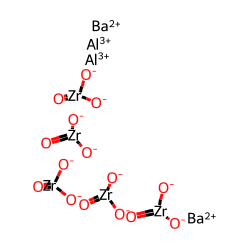 [Al+3].[Al+3].[Ba+2].[Ba+2].[O]=[Zr]([O-])[O-].[O]=[Zr]([O-])[O-].[O]=[Zr]([O-])[O-].[O]=[Zr]([O-])[O-].[O]=[Zr]([O-])[O-]